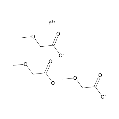 COCC(=O)[O-].COCC(=O)[O-].COCC(=O)[O-].[Y+3]